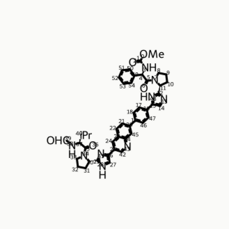 COC(=O)N[C@@H](C(=O)N1CCC[C@H]1c1ncc(-c2ccc(-c3ccc4cc(-c5c[nH]c([C@@H]6CCCN6C(=O)[C@@H](NC=O)C(C)C)n5)cnc4c3)cc2)[nH]1)c1ccccc1